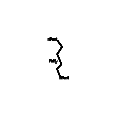 [CH2]CCCCCCCCCCCCC.[PbH2]